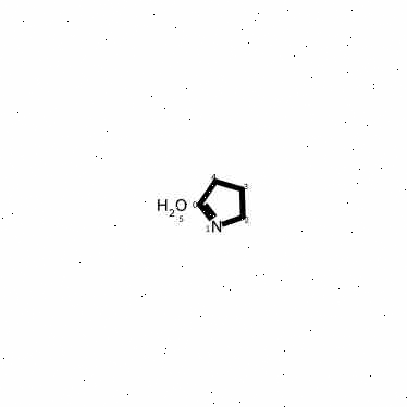 C1=NCCC1.O